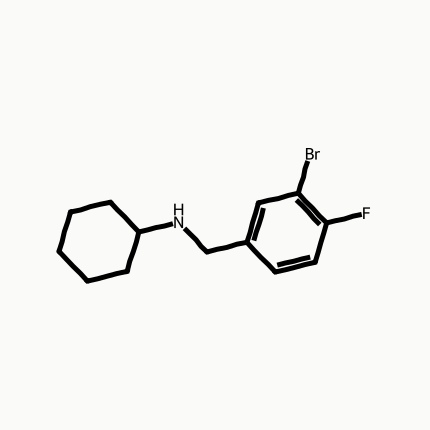 Fc1ccc(CNC2CCCCC2)cc1Br